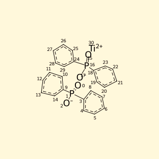 O=P([O-])(c1ccccc1)c1ccccc1.O=P([O-])(c1ccccc1)c1ccccc1.[Ti+2]